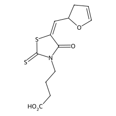 O=C(O)CCCN1C(=O)/C(=C\C2CC=CO2)SC1=S